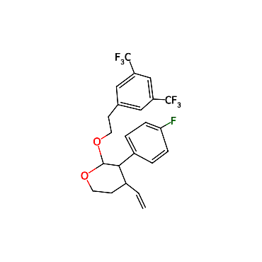 C=CC1CCOC(OCCc2cc(C(F)(F)F)cc(C(F)(F)F)c2)C1c1ccc(F)cc1